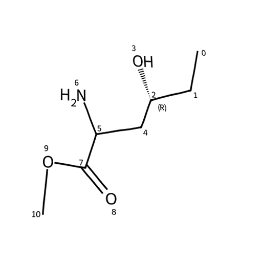 CC[C@@H](O)CC(N)C(=O)OC